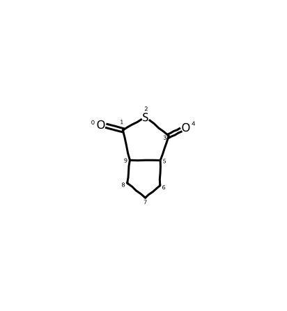 O=C1SC(=O)C2CCCC12